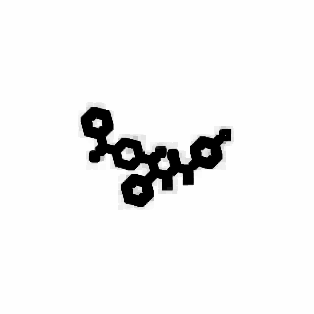 O=C(Nc1ccc(Cl)cc1)NC(C(=O)N1CCC(C(=O)c2ccccc2)CC1)c1ccccc1